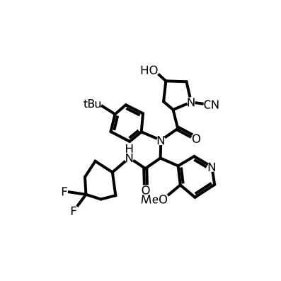 COc1ccncc1C(C(=O)NC1CCC(F)(F)CC1)N(C(=O)C1CC(O)CN1C#N)c1ccc(C(C)(C)C)cc1